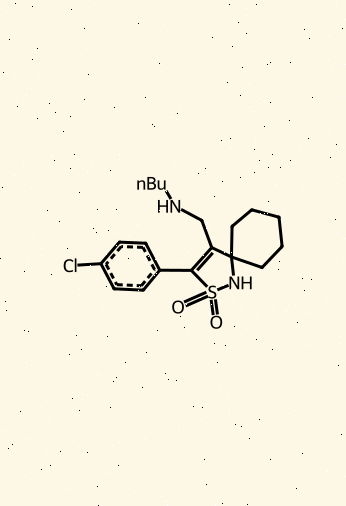 CCCCNCC1=C(c2ccc(Cl)cc2)S(=O)(=O)NC12CCCCC2